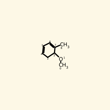 COC1CC=CC=C1C